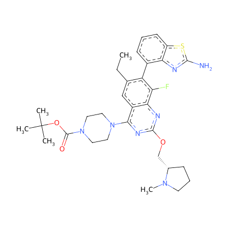 CCc1cc2c(N3CCN(C(=O)OC(C)(C)C)CC3)nc(OC[C@@H]3CCCN3C)nc2c(F)c1-c1cccc2sc(N)nc12